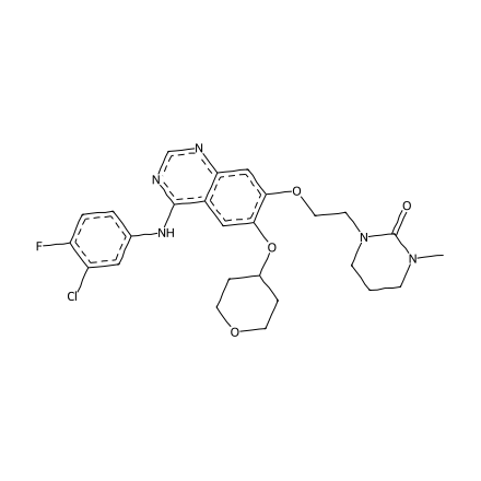 CN1CCCN(CCOc2cc3ncnc(Nc4ccc(F)c(Cl)c4)c3cc2OC2CCOCC2)C1=O